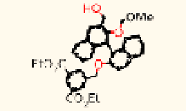 CCOC(=O)c1cc(COc2ccc3ccccc3c2-c2c(OCOC)c(CO)cc3ccccc23)cc(C(=O)OCC)c1